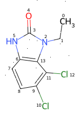 CCn1c(=O)[nH]c2ccc(Cl)c(Cl)c21